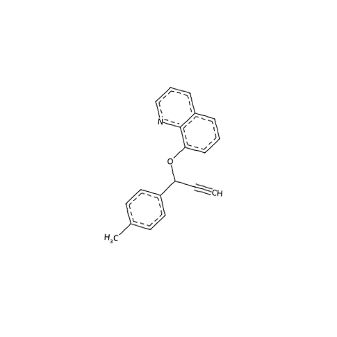 C#CC(Oc1cccc2cccnc12)c1ccc(C)cc1